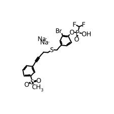 CS(=O)(=O)c1cccc(C#CCCSCc2ccc(OP(=O)(O)C(F)F)c(Br)c2)c1.[Na].[Na]